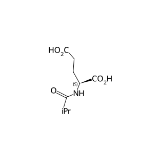 CC(C)C(=O)N[C@@H](CCC(=O)O)C(=O)O